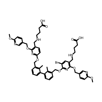 COc1ccc(COc2nc(OCc3cccc(-c4cccc(COc5nc(OCc6ccc(OC)nc6)c(CNCCCC(=O)O)cc5Br)c4C)c3C)ccc2CNCCCC(=O)O)cn1